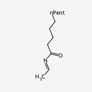 CC=NC(=O)CCCCCCCCC